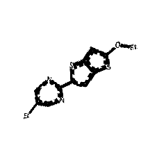 CCOc1cc2sc(-c3ncc(CC)cn3)cc2s1